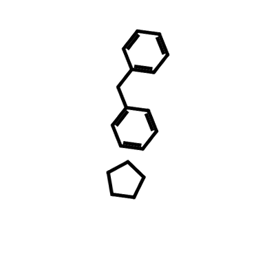 C1CCCC1.c1ccc(Cc2ccccc2)cc1